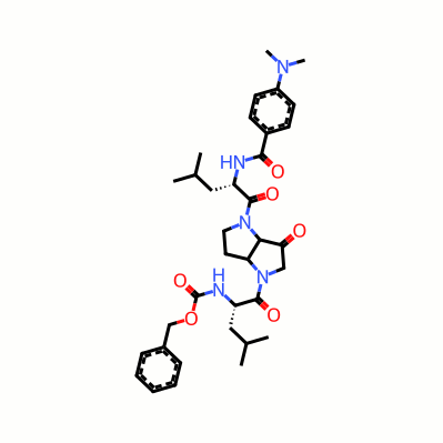 CC(C)C[C@H](NC(=O)OCc1ccccc1)C(=O)N1CC(=O)C2C1CCN2C(=O)[C@H](CC(C)C)NC(=O)c1ccc(N(C)C)cc1